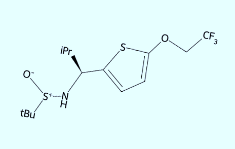 CC(C)[C@H](N[S+]([O-])C(C)(C)C)c1ccc(OCC(F)(F)F)s1